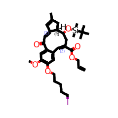 C=CCOC(=O)/C1=C\c2cc(OCCCCCI)c(OC)cc2C(=O)/C=C2/C=C(C)C[C@H]2C(O[Si](C)(C)C(C)(C)C)C1